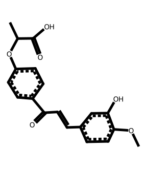 COc1ccc(C=CC(=O)c2ccc(OC(C)C(=O)O)cc2)cc1O